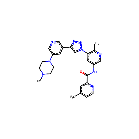 Cc1ncc(NC(=O)c2cc(C(F)(F)F)ccn2)cc1-n1cc(-c2cncc(N3CCN(C(C)C)CC3)c2)nn1